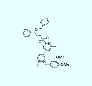 COc1ccc(Cn2cc(-c3cc(C)nc(S(=O)(=O)CCC(OCc4ccccc4)c4ccccc4)n3)ccc2=O)cc1OC